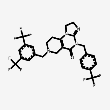 O=C1C2=C(CCN(Cc3cc(C(F)(F)F)cc(C(F)(F)F)c3)C2)N2CCN=C2N1Cc1ccc(C(F)(F)F)cc1